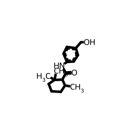 CC1CCCC(C)(C)C1C(=O)Nc1ccc(CO)cc1